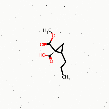 CCCC1C[C@]1(C(=O)O)C(=O)OC